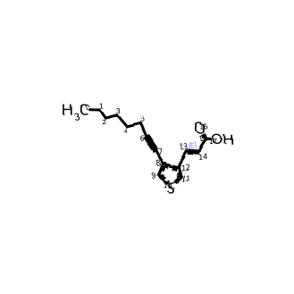 CCCCCCC#Cc1cscc1/C=C/C(=O)O